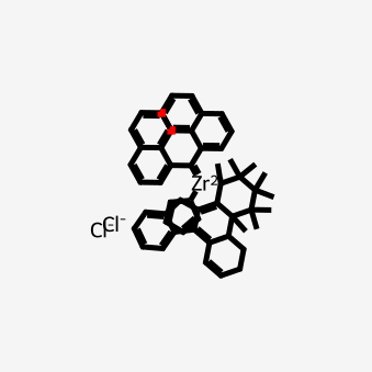 CC12C(=C3Cc4ccccc4C3=C3C=CCCC31)[C](C)([Zr+2](=[C](c1cccc3ccccc13)c1cccc3ccccc13)[CH]1C=CC=C1)C(C)(C)C(C)(C)C2(C)C.[Cl-].[Cl-]